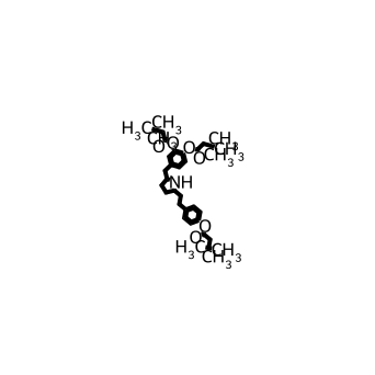 CC(C)(C)CC(=O)Oc1ccc(CCC2CCC(Cc3ccc(OC(=O)CC(C)(C)C)c(OC(=O)CC(C)(C)C)c3)N2)cc1